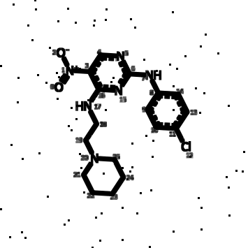 O=[N+]([O-])c1cnc(Nc2ccc(Cl)cc2)nc1NCCN1CCCCC1